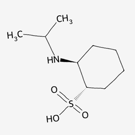 CC(C)N[C@H]1CCCC[C@@H]1S(=O)(=O)O